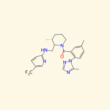 Cc1ccc(-n2ncnc2C)c(C(=O)N2CCC[C@@H](C)C2CNc2ccc(C(F)(F)F)cn2)c1